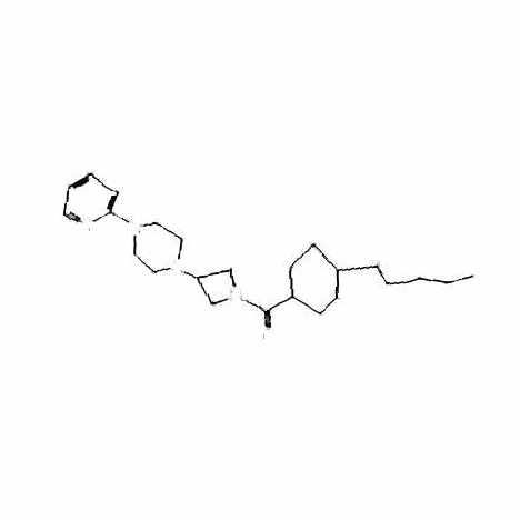 CCCCCC1CCC(C(=O)N2CC(N3CCN(c4ccccn4)CC3)C2)CC1